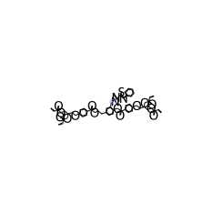 C=CC(=O)OCC(COc1ccc(C(=O)OCCc2ccc(OC(=O)c3ccc(OCC(COC(=O)C=C)OC(=O)C=C)cc3)c(/C=N/N(C)c3nc4ccccc4s3)c2)cc1)OC(=O)C=C